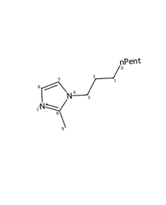 CCCCCCCCN1C=C[N+]=C1C